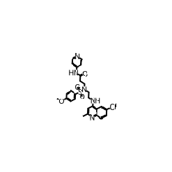 COc1ccc(S(=O)(=O)N(CCNc2cc(C)nc3ccc(Cl)cc23)CCC(=O)Nc2ccncc2)cc1